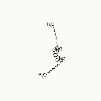 CCCCCCCCCCCCC1=CC(=O)N(Cc2ccccc2CN2C(=O)C=C(CCCCCCCCCCCC)C2=O)C1=O